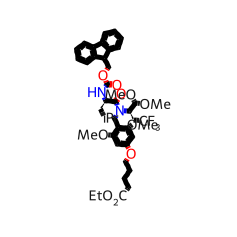 CCOC(=O)CCCCOc1cc(OC)c(CN(C(=O)[C@H](CC(C)C)NC(=O)OCC2c3ccccc3-c3ccccc32)[C@@H](CC(F)(F)F)C(OC)OC)c(OC)c1